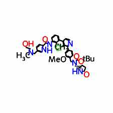 COc1cc(-c2nccc(-c3cccc(NC(=O)c4ccc(CN(C)CCO)cn4)c3C)c2Cl)ccc1CN(C[C@@H]1CCC(=O)N1)C(=O)OC(C)(C)C